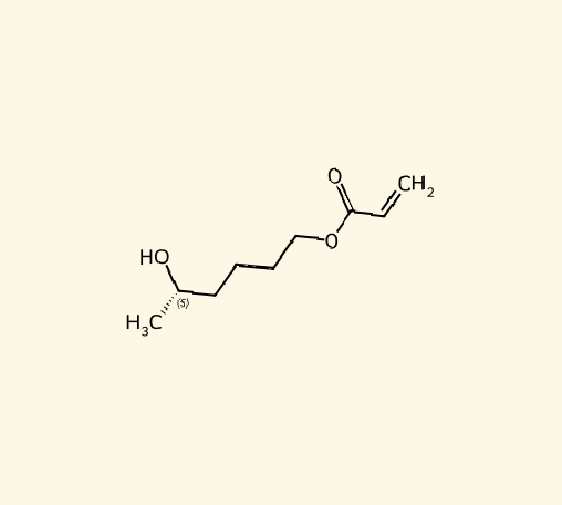 C=CC(=O)OCCCC[C@H](C)O